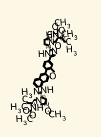 CC[C@H](C)C(NC(=O)OC)C(=O)N1[C@@H](C)CC[C@H]1c1ncc(-c2ccc3c(c2)COc2cc4c(ccc5nc([C@@H]6C[C@H](COC)CN6C[C@@H](NC(=O)OC)C(C)C)[nH]c54)cc2-3)[nH]1